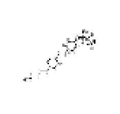 CCCCCC1CCC(CCc2ccc(OC(F)(F)C(F)C(F)(F)F)cc2)CC1